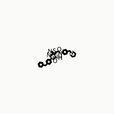 O=C(Nc1ccc(CN2CCCCC2)cc1)c1sc2ncnc3c2c1NC(=O)N3c1ccc(Cc2ccccc2)cc1